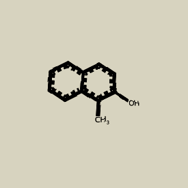 Cc1c(O)ccc2ccccc12